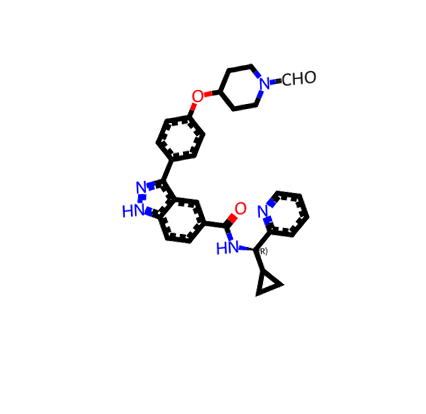 O=CN1CCC(Oc2ccc(-c3n[nH]c4ccc(C(=O)N[C@@H](c5ccccn5)C5CC5)cc34)cc2)CC1